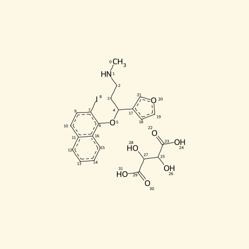 CNCCC(Oc1c(I)ccc2ccccc12)c1ccoc1.O=C(O)C(O)C(O)C(=O)O